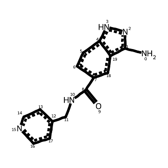 Nc1n[nH]c2ccc(C(=O)NCc3ccncc3)cc12